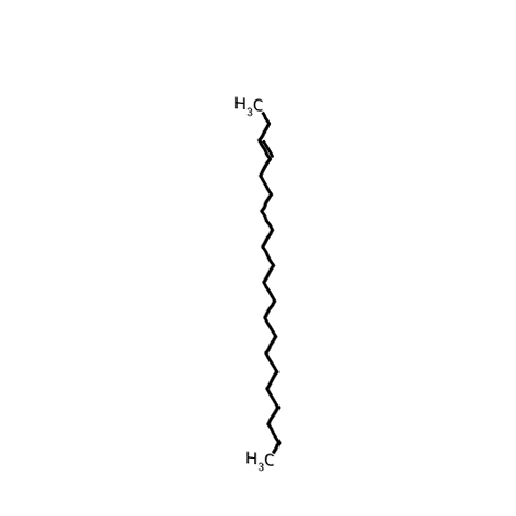 CCC=CCCCCCCCCCCCCCCCCC